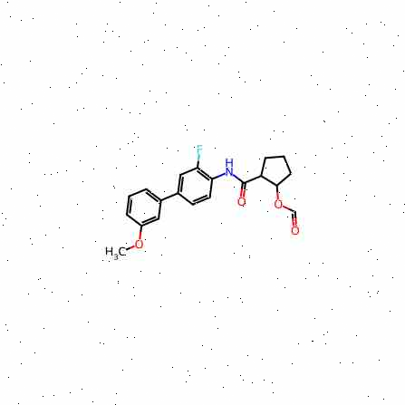 COc1cccc(-c2ccc(NC(=O)C3CCCC3OC=O)c(F)c2)c1